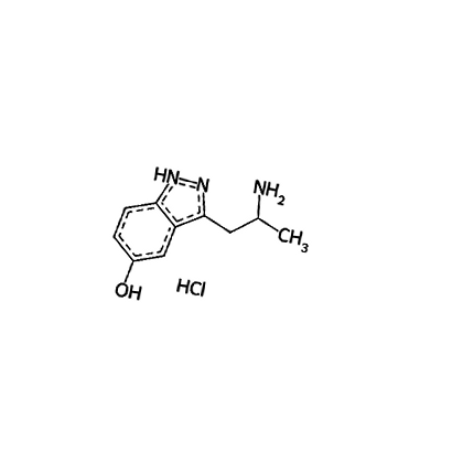 CC(N)Cc1n[nH]c2ccc(O)cc12.Cl